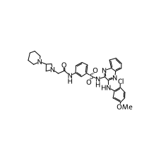 COc1ccc(Cl)c(Nc2nc3ccccc3nc2NS(=O)(=O)c2cccc(NC(=O)CN3CC(N4CCCCC4)C3)c2)c1